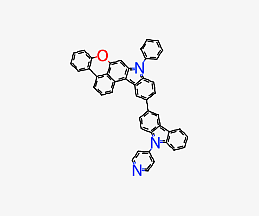 c1ccc(-n2c3ccc(-c4ccc5c(c4)c4ccccc4n5-c4ccncc4)cc3c3c4cccc5c4c(cc32)Oc2ccccc2-5)cc1